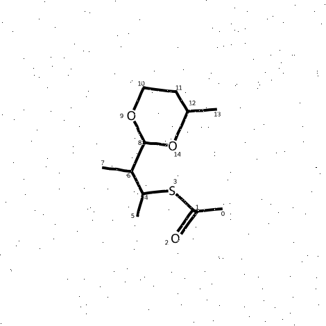 CC(=O)SC(C)C(C)C1OCCC(C)O1